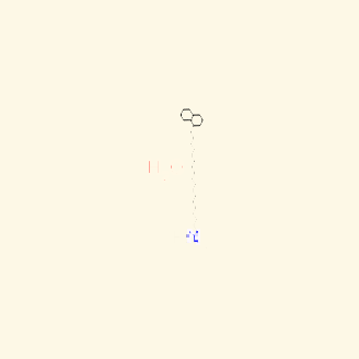 CCN(CC)CCCCCCCCCCCCCCCCCCc1cccc2ccccc12.O